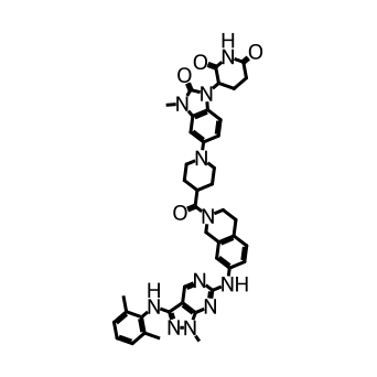 Cc1cccc(C)c1Nc1nn(C)c2nc(Nc3ccc4c(c3)CN(C(=O)C3CCN(c5ccc6c(c5)n(C)c(=O)n6C5CCC(=O)NC5=O)CC3)CC4)ncc12